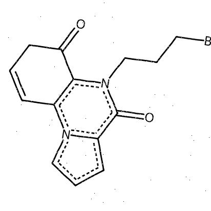 O=C1CC=Cc2c1n(CCCBr)c(=O)c1cccn21